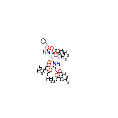 CC(C)(C)OC(=O)CC[C@H](NC(=O)CC[C@H](NC(=O)OCc1ccccc1)C(=O)OC(C)(C)C)C(=O)OC(C)(C)C